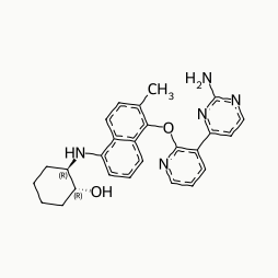 Cc1ccc2c(N[C@@H]3CCCC[C@H]3O)cccc2c1Oc1ncccc1-c1ccnc(N)n1